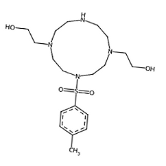 Cc1ccc(S(=O)(=O)N2CCN(CCO)CCNCCN(CCO)CC2)cc1